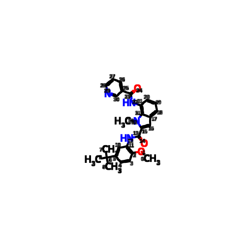 COc1ccc(C(C)(C)C)cc1NC(=O)c1cc2cccc(NC(=O)c3cccnc3)c2n1C